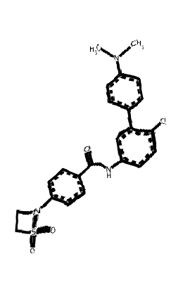 CN(C)c1ccc(-c2cc(NC(=O)c3ccc(N4CCS4(=O)=O)cc3)ccc2Cl)cc1